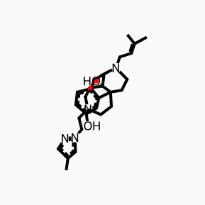 CC(C)=CCN1CCC23CCN(CCn4cc(C)cn4)CCC2(O)C1Cc1ccc(O)cc13